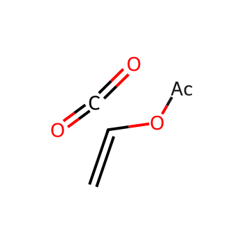 C=COC(C)=O.O=C=O